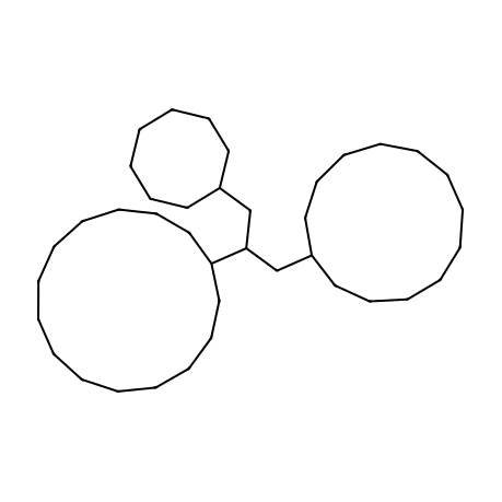 C1CCCCCCCC(C(CC2CCCCCCCCCCCC2)CC2CCCCCCC2)CCCCCC1